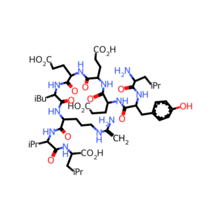 C=C(N)NCCCC(NC(=O)C(NC(=O)C(CCC(=O)O)NC(=O)C(CCC(=O)O)NC(=O)C(CCC(=O)O)NC(=O)C(Cc1ccc(O)cc1)NC(=O)C(N)CC(C)C)C(C)CC)C(=O)NC(C(=O)NC(CC(C)C)C(=O)O)C(C)C